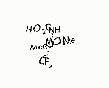 COc1cc(CCCCC(F)(F)F)c(OC)nc1CCNC(=O)O